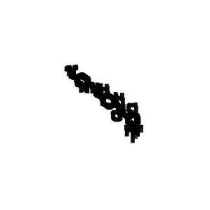 CN(C)Cc1ccc(NCC2CCC(NC(=O)c3cc(C(F)(F)F)ccc3Cl)CC2)nc1